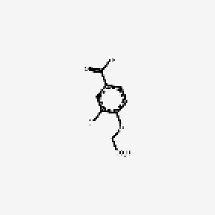 CCCC(=O)c1ccc(OCC(=O)O)c(Cl)c1